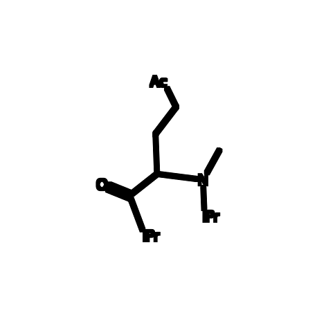 CC(=O)CCC(C(=O)C(C)C)N(C)C(C)C